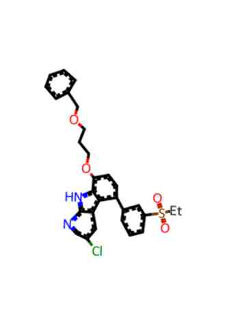 CCS(=O)(=O)c1cccc(-c2ccc(OCCCOCc3ccccc3)c3[nH]c4ncc(Cl)cc4c23)c1